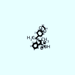 Cc1c(S(=O)(=O)O)c2ccccc2n1[C@H](C)C1CCC2(CC1)OCCO2